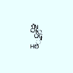 O=C1N([C@H]2CC[C@H](O)CC2)CCC12CCCN(c1cccc3cccnc13)C2